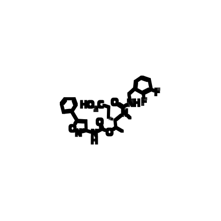 CC(OC(=O)Nc1cc(-c2ccccc2)on1)[C@H](CCC(=O)O)N(C)C(=O)NCc1cccc(F)c1F